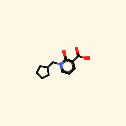 O=C(O)c1cccn(CC2CCCC2)c1=O